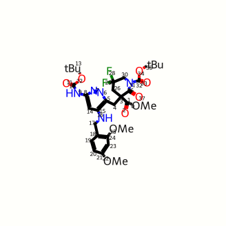 COC(=O)C1(Cc2nnc(NC(=O)OC(C)(C)C)cc2NCc2ccc(OC)cc2OC)CC(F)(F)CN(C(=O)OC(C)(C)C)C1=O